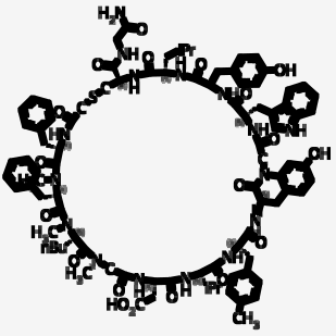 CCCC[C@H]1C(=O)N(C)CC(=O)N[C@@H](CC(=O)O)C(=O)N[C@@H](C(C)C)C(=O)N[C@@H](Cc2ccc(C)cc2)C(=O)N[C@H]2Cc3ccc(O)cc3N(CC(=O)N[C@@H](Cc3c[nH]c4ccccc34)C(=O)NC(Cc3ccc(O)cc3)C(=O)N[C@@H](CC(C)C)C(=O)N[C@H](C(=O)NCC(N)=O)CSCC(=O)N[C@@H](Cc3ccccc3)C(=O)N(C)[C@@H](Cc3ccccc3)C(=O)N1C)C2=O